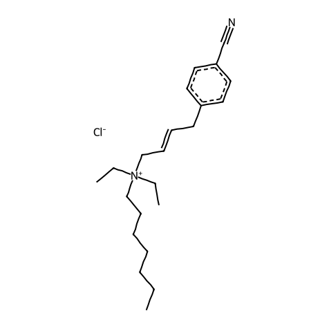 CCCCCCC[N+](CC)(CC)C/C=C/Cc1ccc(C#N)cc1.[Cl-]